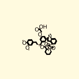 COc1ccc(CC[C@@H](OC(=O)C2CCCCN2S(=O)(=O)c2cccc3c2ccn3C)c2cccc(OCC(=O)O)c2)cc1OC